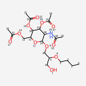 CCCCOC(CO)COC1OC(COC(C)=O)C(OC(C)=O)C(OC(C)=O)C1NC(C)=O